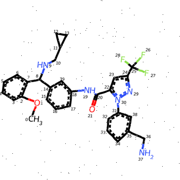 COc1ccccc1C(NCC1CC1)c1cccc(NC(=O)c2cc(C(F)(F)F)nn2-c2cccc(CN)c2)c1